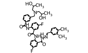 Cc1ccc(C=NNC(=O)c2cc(F)ccc2NC(=O)c2cc(F)ccc2NC(=O)c2cccc(CN(CC(C)O)CC(C)O)c2)cc1C